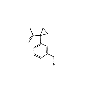 CC(=O)C1(c2cccc(CF)c2)CC1